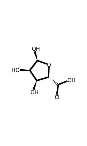 OC(Cl)[C@H]1O[C@H](O)[C@H](O)[C@@H]1O